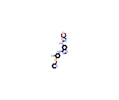 Clc1cc(Nc2ncnc3ccc(NC4=NCC5(CCOCC5)O4)cc23)ccc1OCc1ccccn1